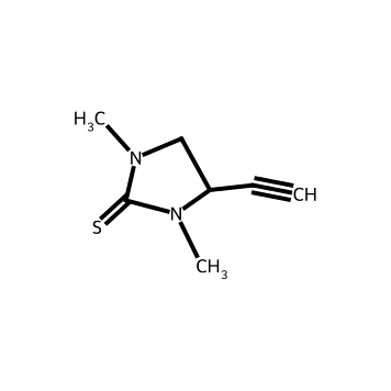 C#CC1CN(C)C(=S)N1C